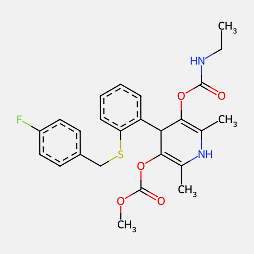 CCNC(=O)OC1=C(C)NC(C)=C(OC(=O)OC)C1c1ccccc1SCc1ccc(F)cc1